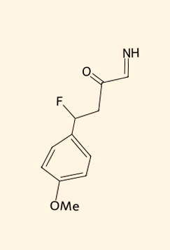 COc1ccc(C(F)CC(=O)C=N)cc1